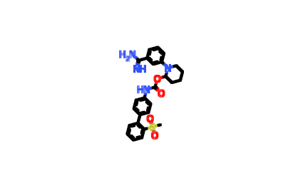 CS(=O)(=O)c1ccccc1-c1ccc(NC(=O)OC2CCCCN2c2cccc(C(=N)N)c2)cc1